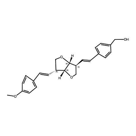 COc1ccc(C=C[C@@H]2CO[C@H]3[C@@H]2OC[C@@H]3C=Cc2ccc(CO)cc2)cc1